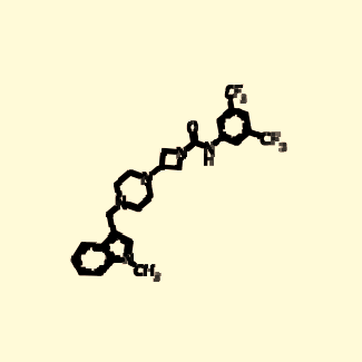 Cn1cc(CN2CCN(C3CN(C(=O)Nc4cc(C(F)(F)F)cc(C(F)(F)F)c4)C3)CC2)c2ccccc21